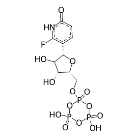 O=c1ccc([C@@H]2O[C@H](COP3(=O)OP(=O)(O)OP(=O)(O)O3)[C@H](O)C2O)c(F)[nH]1